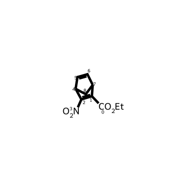 CCOC(=O)C1=C([N+](=O)[O-])C2C=CC1C2